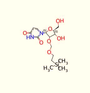 C[Si](C)(C)CCOCOC1C(O)[C@H](CO)O[C@@H]1n1ccc(=O)[nH]c1=O